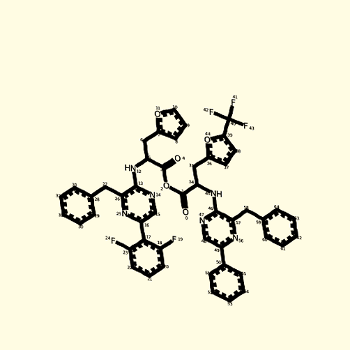 O=C(OC(=O)C(Cc1ccco1)Nc1ncc(-c2c(F)cccc2F)nc1Cc1ccccc1)C(Cc1ccc(C(F)(F)F)o1)Nc1ncc(-c2ccccc2)nc1Cc1ccccc1